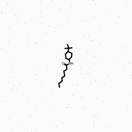 CCCCCCCC(=O)NC1CCC(C(C)(C)C)CC1